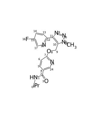 CC(C)NC(=O)c1ccc(OCc2c(-c3ccc(F)cn3)nnn2C)nc1